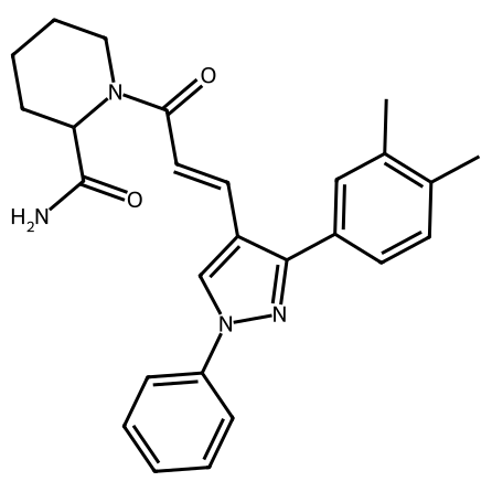 Cc1ccc(-c2nn(-c3ccccc3)cc2C=CC(=O)N2CCCCC2C(N)=O)cc1C